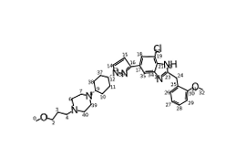 COCCCN1CCN([C@H]2CC[C@@H](n3ccc(-c4cc(Cl)c5[nH]c(Cc6ccccc6OC)nc5c4)n3)CC2)CC1